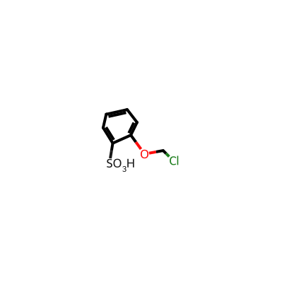 O=S(=O)(O)c1ccccc1OCCl